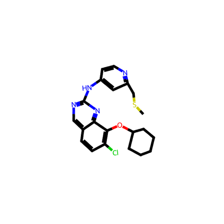 CSCc1cc(Nc2ncc3ccc(Cl)c(OC4CCCCC4)c3n2)ccn1